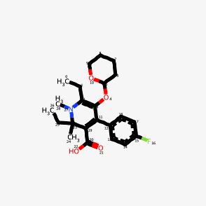 CCC1=C(OC2CCCCO2)C(c2ccc(F)cc2)=C(C(=O)O)C(C)(CC)N1C